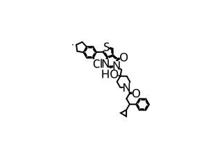 O=C(CC(c1ccccc1)C1CC1)N1CCC(O)(Cn2cnc3c(-c4cc5c(cc4Cl)C[CH]C5)scc3c2=O)CC1